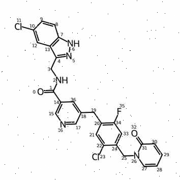 O=C(NCc1n[nH]c2ccc(Cl)cc12)c1cncc(Cc2cc(Cl)c(Cn3ccccc3=O)cc2F)c1